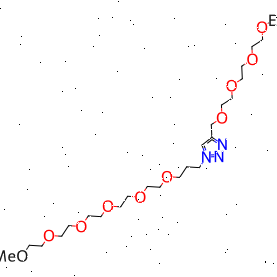 CCOCCOCCOCCOCc1cn(CCCOCCOCCOCCOCCOCCOC)nn1